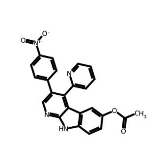 CC(=O)Oc1ccc2[nH]c3ncc(-c4ccc([N+](=O)[O-])cc4)c(-c4ccccn4)c3c2c1